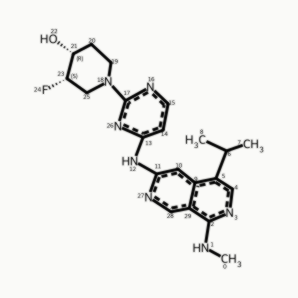 CNc1ncc(C(C)C)c2cc(Nc3ccnc(N4CC[C@@H](O)[C@@H](F)C4)n3)ncc12